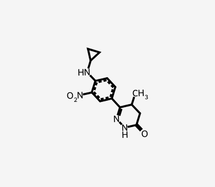 CC1CC(=O)NN=C1c1ccc(NC2CC2)c([N+](=O)[O-])c1